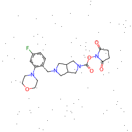 O=C(ON1C(=O)CCC1=O)N1CC2CN(Cc3ccc(F)cc3N3CCOCC3)CC2C1